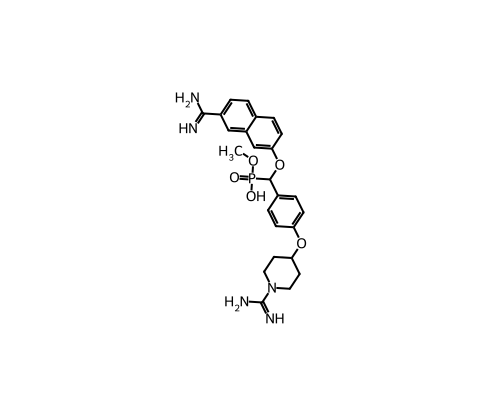 COP(=O)(O)C(Oc1ccc2ccc(C(=N)N)cc2c1)c1ccc(OC2CCN(C(=N)N)CC2)cc1